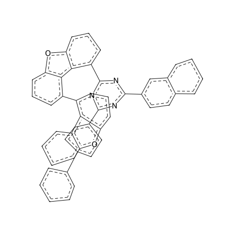 c1ccc(-c2ccc(-c3nc(-c4ccc5ccccc5c4)nc(-c4cccc5oc6cccc(-c7cccc8oc9ccccc9c78)c6c45)n3)cc2)cc1